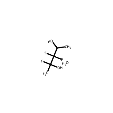 CC(O)C(F)(F)C(O)(F)C(F)(F)F.O